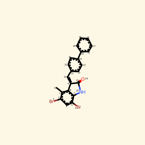 Cc1c(Br)cc(Br)c2c1C(=Cc1ccc(-c3ccccc3)cc1)C(=O)N2